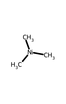 [CH3][Ni]([CH3])[CH3]